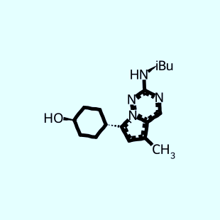 CC[C@H](C)Nc1ncc2c(C)cc([C@H]3CC[C@H](O)CC3)n2n1